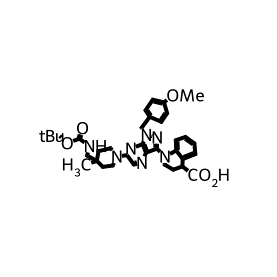 COc1ccc(Cn2nc(N3CCC(C(=O)O)c4ccccc43)c3ncc(N4CCC(C)(CNC(=O)OC(C)(C)C)CC4)nc32)cc1